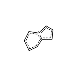 c1ccp2cccc2c1